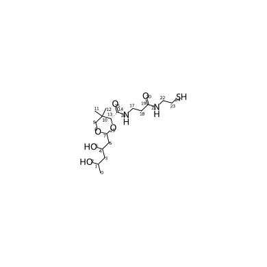 CC(O)CC(O)CC1OCC(C)(C)[C@H](C(=O)NCCC(=O)NCCS)O1